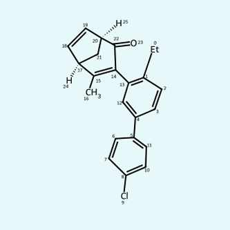 CCc1ccc(-c2ccc(Cl)cc2)cc1C1=C(C)[C@H]2C=C[C@H](C2)C1=O